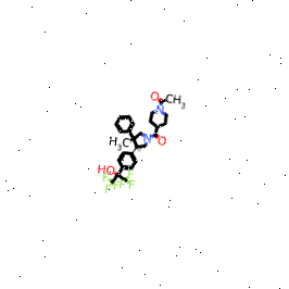 CC(=O)N1CCC(C(=O)N2C[C@H](c3ccc(C(O)(C(F)(F)F)C(F)(F)F)cc3)[C@](C)(c3ccccc3)C2)CC1